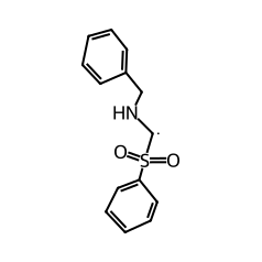 O=S(=O)([CH]NCc1ccccc1)c1ccccc1